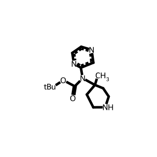 CC(C)(C)OC(=O)N(c1cnccn1)C1(C)CCNCC1